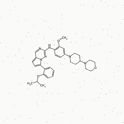 COc1cc(N2CCC(N3CCOCC3)CC2)ccc1Nc1ncc2ccc(-c3ccccc3OC(C)C)n2n1